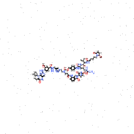 CC[C@@H]1C(=O)N(C)c2cnc(Nc3ccc(C(=O)NCc4cn(CCN(CCC(=O)Nc5cccc6c5CN(C5CCC(=O)NC5=O)C6=O)C(=O)OCc5ccc(NC(=O)[C@H](CCCNC(N)=O)NC(=O)C(NC(=O)CCCCCN6C(=O)C=CC6=O)C(C)C)cc5)nn4)cc3OC)nc2N1C1CCCC1